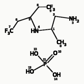 CC(CN)NC(CC(F)(F)F)CC(F)(F)F.O=P(O)(O)O